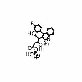 C#CC(c1c(C(C)C)nc2ccccc2c1-c1ccc(F)cc1)C(O)CC(=O)O[PH](=O)O